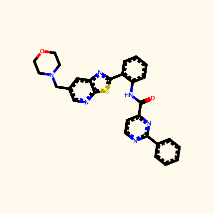 O=C(Nc1ccccc1-c1nc2cc(CN3CCOCC3)cnc2s1)c1ccnc(-c2ccccc2)n1